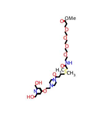 COC(=O)CCOCCOCCOCCOCCNC(=O)CS(C)(C)CCCC(=O)N1CCN(CCOc2cc(CO)nc(CO)c2)CC1